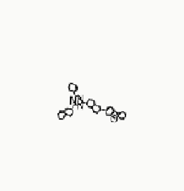 c1ccc(-c2nc(-c3ccc4ccccc4c3)nc(-c3ccc4cc(-c5ccc6c(c5)oc5ccccc56)ccc4c3)n2)cc1